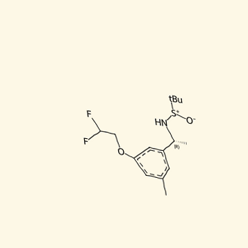 Cc1cc(OCC(F)F)cc([C@@H](C)N[S+]([O-])C(C)(C)C)c1